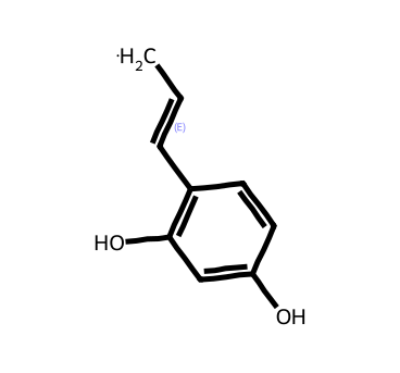 [CH2]/C=C/c1ccc(O)cc1O